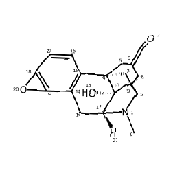 CN1CC[C@]23CC(=O)CC[C@@]2(O)[C@H]1Cc1c3ccc2c1O2